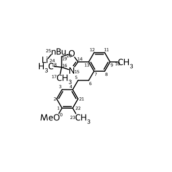 COc1ccc(CCc2cc(C)ccc2C2=NC(C)(C)CO2)cc1C.[Li][CH2]CCC